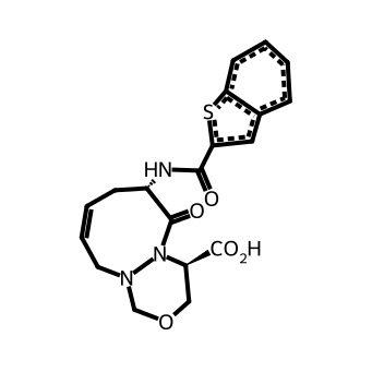 O=C(N[C@H]1C/C=C\CN2COC[C@H](C(=O)O)N2C1=O)c1cc2ccccc2s1